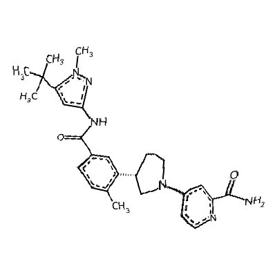 Cc1ccc(C(=O)Nc2cc(C(C)(C)C)n(C)n2)cc1[C@@H]1CCN(c2ccnc(C(N)=O)c2)C1